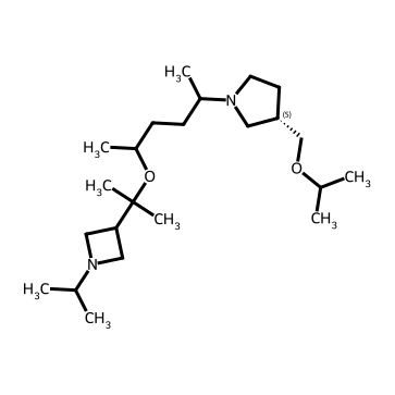 CC(C)OC[C@H]1CCN(C(C)CCC(C)OC(C)(C)C2CN(C(C)C)C2)C1